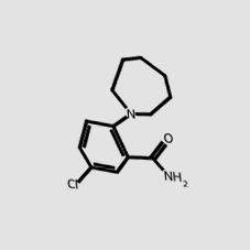 NC(=O)c1cc(Cl)ccc1N1CCCCCC1